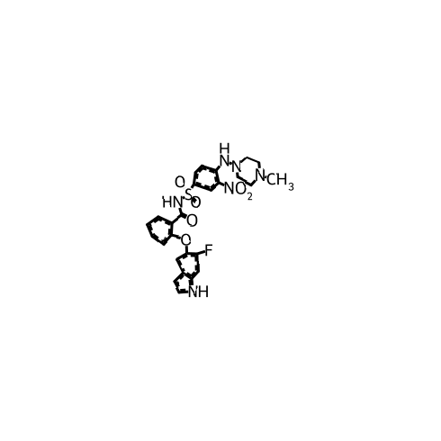 CN1CCN(Nc2ccc(S(=O)(=O)NC(=O)c3ccccc3Oc3cc4cc[nH]c4cc3F)cc2[N+](=O)[O-])CC1